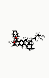 CC(C)(C)OC(=O)Nc1nc2c(-c3c(C(F)(F)F)cc4c(N5CC6CCC(C5)N6C(=O)OC(C)(C)C)nc(F)nc4c3F)ccc(F)c2s1